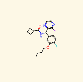 CCCCOc1cc(C(NC(=O)C2CCC2)c2nccnc2I)ccc1F